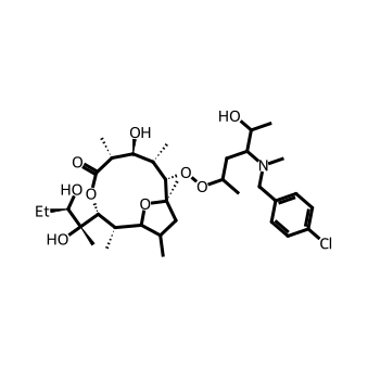 CC[C@@H](O)[C@@](C)(O)[C@@H]1OC(=O)[C@H](C)[C@@H](O)[C@H](C)[C@H](OOC(C)CC(C(C)O)N(C)Cc2ccc(Cl)cc2)[C@@]2(C)CC(C)C(O2)[C@@H]1C